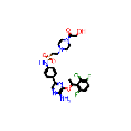 CC(Oc1nc(-c2ccc(NS(=O)(=O)CCN3CCN(C(=O)CO)CC3)cc2)cnc1N)c1c(F)ccc(F)c1Cl